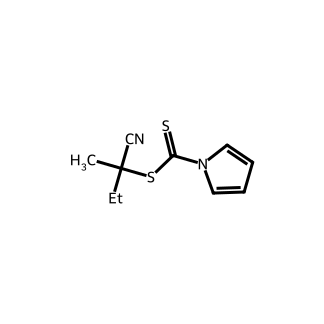 CCC(C)(C#N)SC(=S)n1cccc1